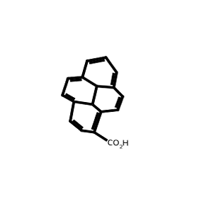 O=C(O)C1=C2C=CC3=CC=CC4=CC=C(C=C1)C2C34